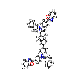 CC1(C)c2cc(-c3ccc(N(c4ccc(-c5nc6ccccc6o5)cc4)c4ccc5ccccc5c4)cc3)ccc2-c2ccc(N(c3ccc(-c4nc5ccccc5o4)cc3)c3ccc4ccccc4c3)cc21